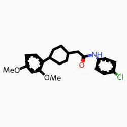 COc1ccc(C2CCC(CC(=O)Nc3ccc(Cl)cc3)CC2)c(OC)c1